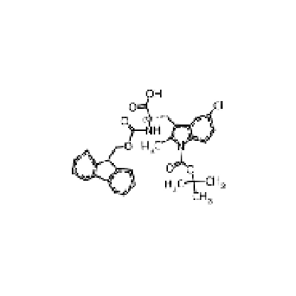 Cc1c(C[C@H](NC(=O)OCC2c3ccccc3-c3ccccc32)C(=O)O)c2cc(Cl)ccc2n1C(=O)OC(C)(C)C